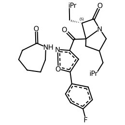 CC(C)CC1CN2C(=O)[C@@H](CC(C)C)C2(C(=O)c2cc(-c3ccc(F)cc3)on2)C1.O=C1CCCCCN1